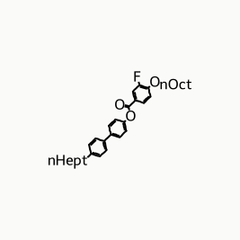 CCCCCCCCOc1ccc(C(=O)Oc2ccc(-c3ccc(CCCCCCC)cc3)cc2)cc1F